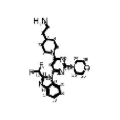 NCCC1CCN(c2cc(-n3c(C(F)F)nc4ccccc43)nc(N3CCOCC3)n2)CC1